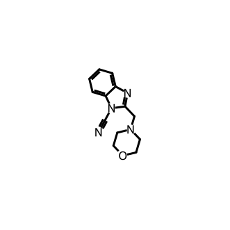 N#Cn1c(CN2CCOCC2)nc2ccccc21